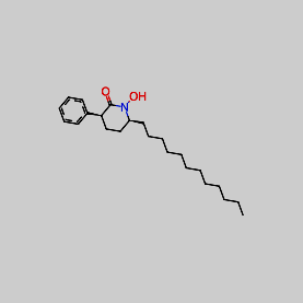 CCCCCCCCCCCC[C@H]1CC[C@@H](c2ccccc2)C(=O)N1O